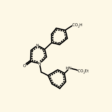 CCOC(=O)Nc1cccc(Cn2cc(-c3ccc(C(=O)O)cc3)ncc2=O)c1